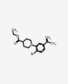 C=C(C)c1ccc(Br)c(N2CCC(C(=O)OCC)CC2)c1